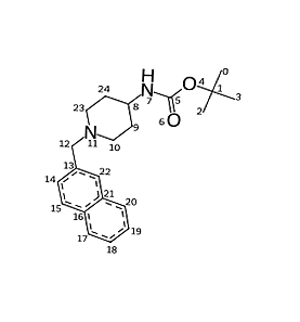 CC(C)(C)OC(=O)NC1CCN(Cc2ccc3ccccc3c2)CC1